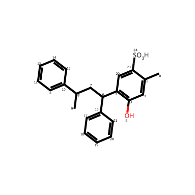 Cc1cc(O)c(C(CC(C)c2ccccc2)c2ccccc2)cc1S(=O)(=O)O